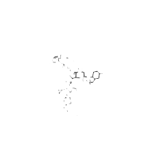 C[Si](C)(C)CCOCn1cc(C(=O)N[C@@H](C(=O)N2CCC(N)CC2)C2CC2)c2nc(-n3ncc4cc(Cl)ccc43)cnc21